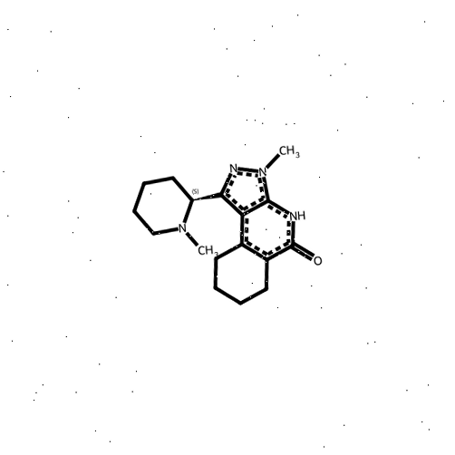 CN1CCCC[C@H]1c1nn(C)c2[nH]c(=O)c3c(c12)CCCC3